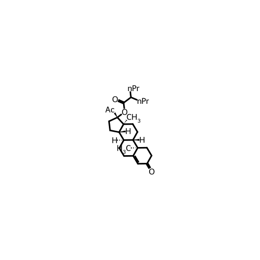 CCCC(CCC)C(=O)O[C@@]1(C(C)=O)CC[C@H]2[C@@H]3CCC4=CC(=O)CC[C@]4(C)[C@H]3CC[C@@]21C